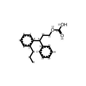 CCCc1ccccc1C(CCOC(=O)O)c1ccccc1